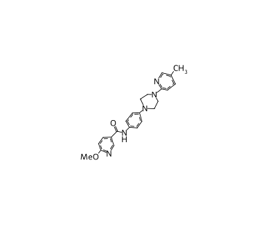 COc1ccc(C(=O)Nc2ccc(N3CCN(c4ccc(C)cn4)CC3)cc2)cn1